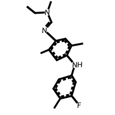 CCN(C)C=Nc1cc(C)c(Nc2ccc(C)c(F)c2)cc1C